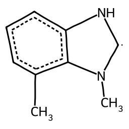 Cc1cccc2c1N(C)[CH]N2